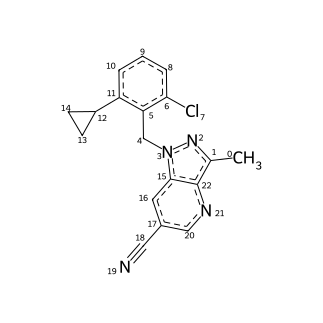 Cc1nn(Cc2c(Cl)cccc2C2CC2)c2cc(C#N)cnc12